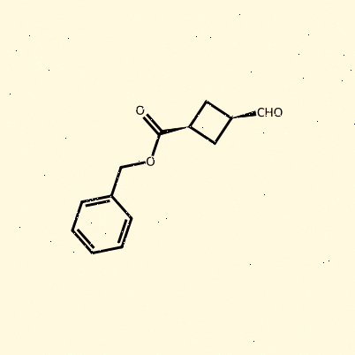 O=C[C@H]1C[C@@H](C(=O)OCc2ccccc2)C1